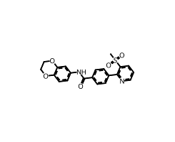 CS(=O)(=O)c1cccnc1-c1ccc(C(=O)Nc2ccc3c(c2)OCCO3)cc1